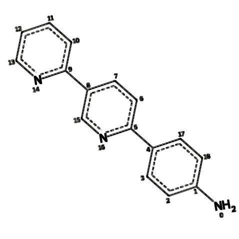 Nc1ccc(-c2ccc(-c3ccccn3)cn2)cc1